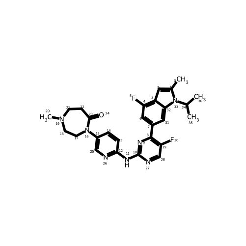 Cc1cc2c(F)cc(-c3nc(Nc4ccc(N5CCN(C)CCC5=O)cn4)ncc3F)cc2n1C(C)C